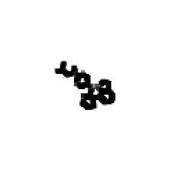 CC(C)CN(C)c1ncc(Oc2ncccc2-c2cccc3c2OCC3)cn1